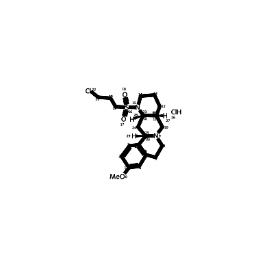 COc1ccc2c(c1)CCN1C[C@H]3CCCN(S(=O)(=O)CCCCl)[C@H]3C[C@@H]21.Cl